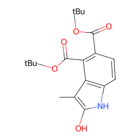 Cc1c(O)[nH]c2ccc(C(=O)OC(C)(C)C)c(C(=O)OC(C)(C)C)c12